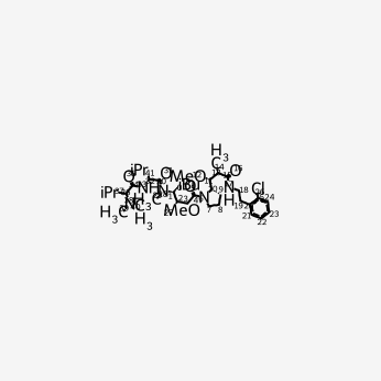 CC[C@H](C)[C@@H]([C@@H](CC(=O)N1CCC[C@H]1[C@H](OC)[C@@H](C)C(=O)NCCc1ccccc1Cl)OC)N(C)C(=O)C(NC(=O)C(C(C)C)N(C)C)C(C)C